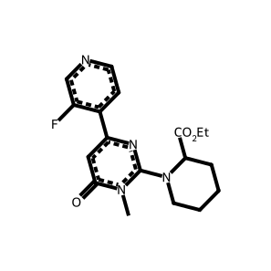 CCOC(=O)C1CCCCN1c1nc(-c2ccncc2F)cc(=O)n1C